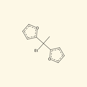 CCC(C)(c1ccco1)c1ccco1